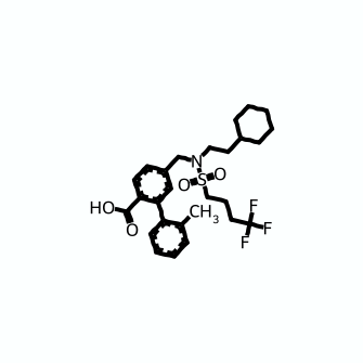 Cc1ccccc1-c1cc(CN(CCC2CCCCC2)S(=O)(=O)CCCC(F)(F)F)ccc1C(=O)O